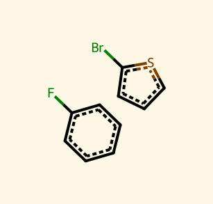 Brc1cccs1.Fc1ccccc1